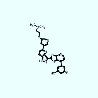 CN(C)CCOc1cncc(-c2ccc3[nH]nc(-c4nc5c(-c6cc(O)cc(F)c6)ccnc5[nH]4)c3n2)c1